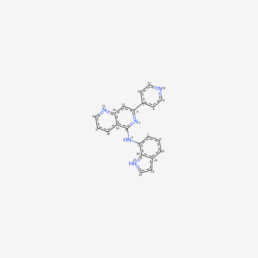 c1cc(Nc2nc(-c3ccncc3)cc3ncccc23)c2[nH]ccc2c1